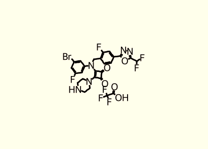 O=C(O)C(F)(F)F.O=c1c(N2CCNCC2)c(N(Cc2ccc(-c3nnc(C(F)F)o3)cc2F)c2cc(F)cc(Br)c2)c1=O